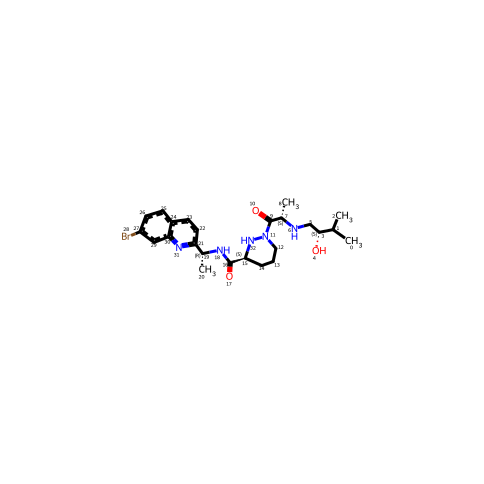 CC(C)[C@H](O)CN[C@@H](C)C(=O)N1CCC[C@@H](C(=O)N[C@H](C)c2ccc3ccc(Br)cc3n2)N1